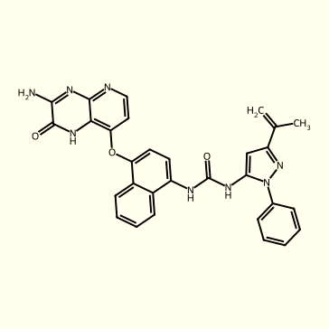 C=C(C)c1cc(NC(=O)Nc2ccc(Oc3ccnc4nc(N)c(=O)[nH]c34)c3ccccc23)n(-c2ccccc2)n1